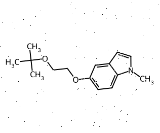 Cn1c[c]c2cc(OCCOC(C)(C)C)ccc21